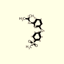 CC(C)Oc1cccc(Oc2ccc(S(C)(=O)=O)cc2)n1